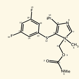 CNC(=O)OC[N+]1(C)C=NC(C(C)C)=C1Sc1cc(F)cc(F)c1